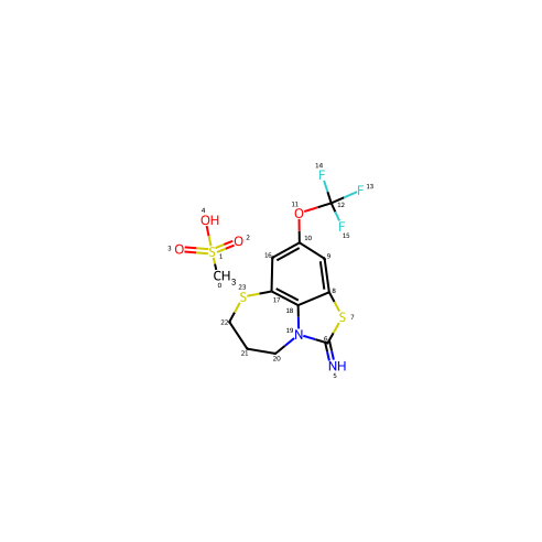 CS(=O)(=O)O.N=c1sc2cc(OC(F)(F)F)cc3c2n1CCCS3